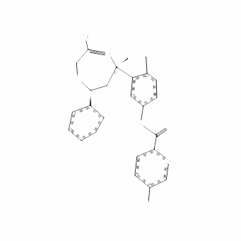 C[C@@]1(c2cc(NC(=O)c3ccc(F)cn3)ccc2F)C[C@@H](c2ccccc2)OCC(N)=N1